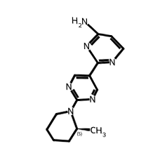 C[C@H]1CCCCN1c1ncc(-c2nccc(N)n2)cn1